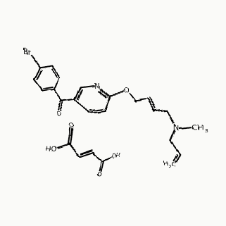 C=CCN(C)CC=CCOc1ccc(C(=O)c2ccc(Br)cc2)cn1.O=C(O)C=CC(=O)O